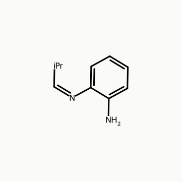 CC(C)/C=N\c1ccccc1N